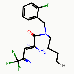 CCCCCN(Cc1ccccc1F)C(=O)/C(N)=C/C(=N)C(F)(F)F